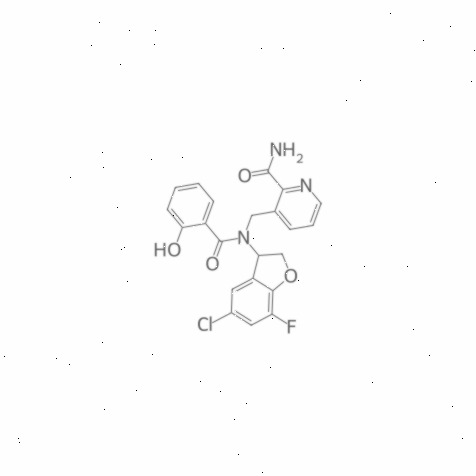 NC(=O)c1ncccc1CN(C(=O)c1ccccc1O)C1COc2c(F)cc(Cl)cc21